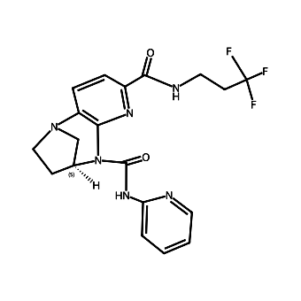 O=C(NCCC(F)(F)F)c1ccc2c(n1)N(C(=O)Nc1ccccn1)[C@H]1CCN2C1